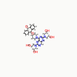 O=C1c2ccccc2C(=O)c2ccccc21.OCCN(CCO)c1nc(N2CCCCC2)c2nc(N(CCO)CCO)ncc2n1